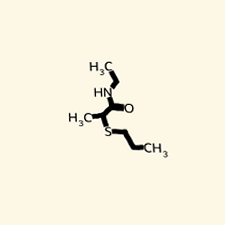 CCCSC(C)C(=O)NCC